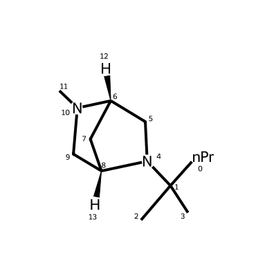 CCCC(C)(C)N1C[C@@H]2C[C@H]1CN2C